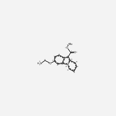 CC(C)(C)OC(=O)c1c2ccc(OCN)cc2n2ccccc12